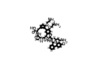 CC[C@@H]1NC(=O)[C@@H](N(C)C(=O)[C@H](CCCCN)NC(=O)c2ccccc2-c2ccc(Cl)cc2)c2ccc(OCCN)c(c2)-c2cc(ccc2OCCN)C[C@@H](C(=O)O)NC1=O